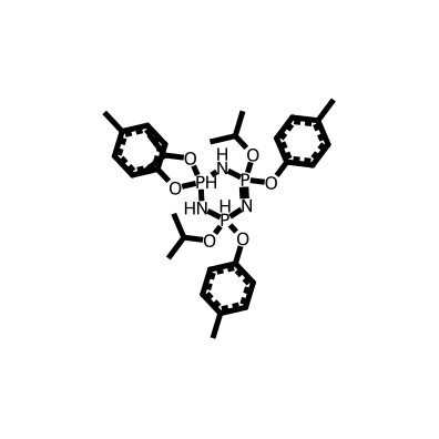 Cc1ccc(OP2(OC(C)C)=N[PH](Oc3ccc(C)cc3)(OC(C)C)N[PH](Oc3ccc(C)cc3)(OC(C)C)N2)cc1